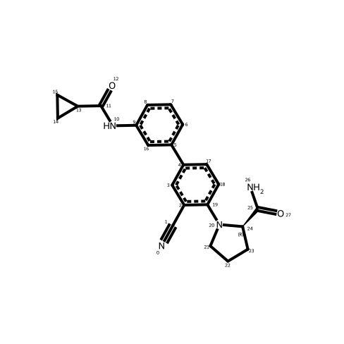 N#Cc1cc(-c2cccc(NC(=O)C3CC3)c2)ccc1N1CCC[C@@H]1C(N)=O